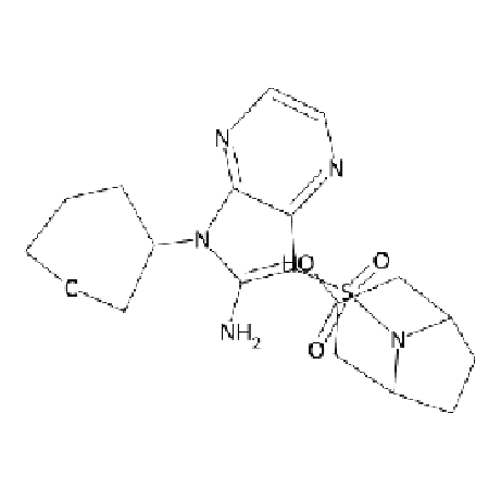 Nc1c(S(=O)(=O)N2C3CCC2CC(O)C3)c2nccnc2n1C1CCCCC1